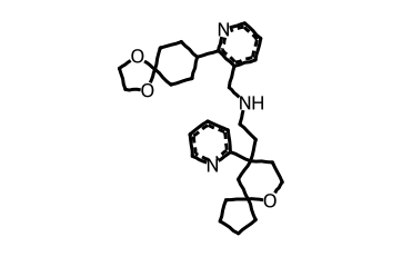 c1ccc(C2(CCNCc3cccnc3C3CCC4(CC3)OCCO4)CCOC3(CCCC3)C2)nc1